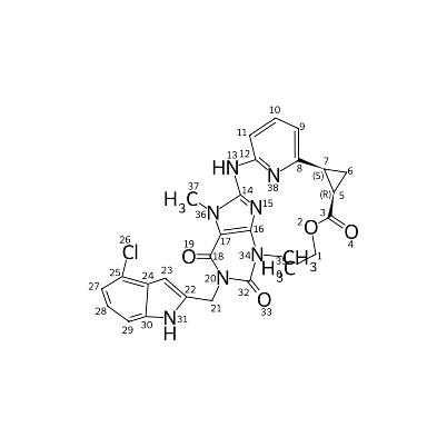 CCOC(=O)[C@@H]1C[C@@H]1c1cccc(Nc2nc3c(c(=O)n(Cc4cc5c(Cl)cccc5[nH]4)c(=O)n3C)n2C)n1